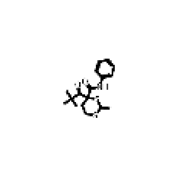 C[C]1SCCC(C(=O)Nc2ccccc2)(C(=O)C(C)(C)C)S1